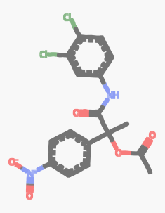 CC(=O)OC(C)(C(=O)Nc1ccc(Cl)c(Cl)c1)c1ccc([N+](=O)[O-])cc1